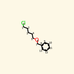 ClCCCCCOCc1ccccc1